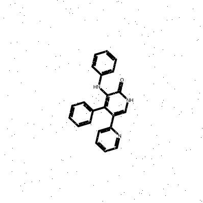 O=c1[nH]cc(-c2ccccn2)c(-c2ccccc2)c1Nc1ccccc1